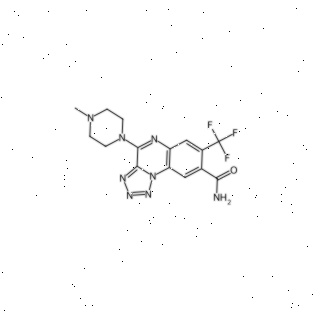 CN1CCN(c2nc3cc(C(F)(F)F)c(C(N)=O)cc3n3nnnc23)CC1